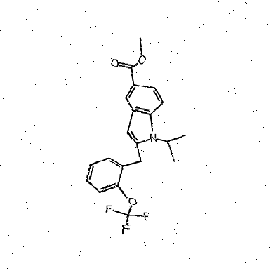 COC(=O)c1ccc2c(c1)cc(Cc1ccccc1OC(F)(F)F)n2C(C)C